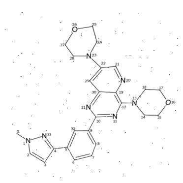 Cn1ccc(-c2cccc(-c3nc(N4CCOCC4)c4ncc(N5CCOCC5)cc4n3)c2)n1